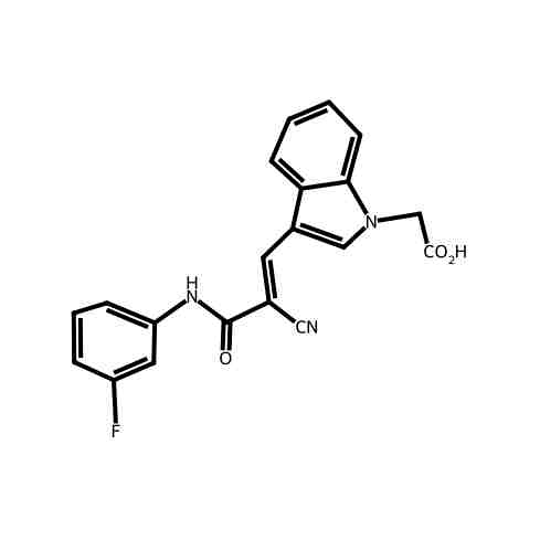 N#C/C(=C\c1cn(CC(=O)O)c2ccccc12)C(=O)Nc1cccc(F)c1